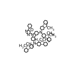 CC1(C)c2ccccc2-c2ccc(N(c3ccc4c(c3)C(C)(C)c3ccccc3-4)c3ccc4c(c3)c3cc(N(c5ccc6c(c5)C(C)(C)c5ccccc5-6)c5ccc6c(c5)C5(C)c7cccc-6c75)ccc3n4-c3ncnc4c3oc3ccccc34)cc21